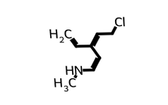 C=CC(/C=C\NC)=C/CCl